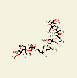 CCC(CC)(OCC(C)(CO)C(=O)C(CC)(CC)OCC(C)(COC)C(=O)OC(C)(C)CCOC(C)(C)CCOC(=O)C(C)(COC)COC(CC)(CC)C(=O)C(C)(CO)COC)C(=O)C(C)(CO)CO